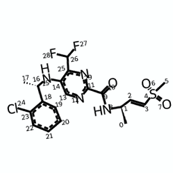 C[C@H](/C=C/S(C)(=O)=O)NC(=O)c1ncc(N[C@@H](C)c2ccccc2Cl)c(C(F)F)n1